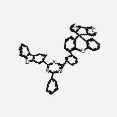 c1ccc(-c2nc(-c3cccc(-c4cccc5c4Oc4ccccc4C54c5ccccc5-c5ccccc54)c3)nc(-c3ccc4c(c3)oc3ccccc34)n2)cc1